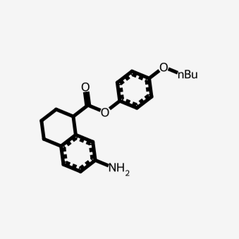 CCCCOc1ccc(OC(=O)C2CCCc3ccc(N)cc32)cc1